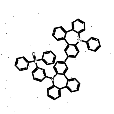 O=P(c1ccccc1)(c1ccccc1)c1cccc(N2c3ccccc3-c3ccccc3-c3cc(-c4ccc5c(c4)-c4ccccc4-c4ccccc4N5c4ccccc4)ccc32)c1